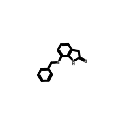 O=C1Cc2cccc(SCc3ccccc3)c2N1